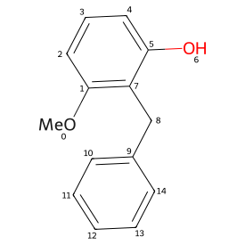 COc1cccc(O)c1Cc1ccccc1